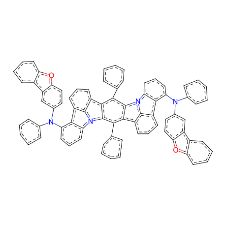 c1ccc(-c2c3c4cccc5c6c(N(c7ccccc7)c7ccc8oc9ccccc9c8c7)cccc6n(c3c(-c3ccccc3)c3c6cccc7c8c(N(c9ccccc9)c9ccc%10oc%11ccccc%11c%10c9)cccc8n(c23)c76)c54)cc1